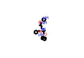 C/C(=C\Cn1ncc(C(=O)NC2C3CC4CC(C3)CC2C4)c1OCC1CCCCC1)C(=O)NC1CCNCC1